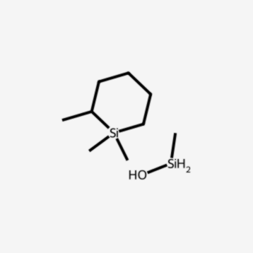 CC1CCCC[Si]1(C)C.C[SiH2]O